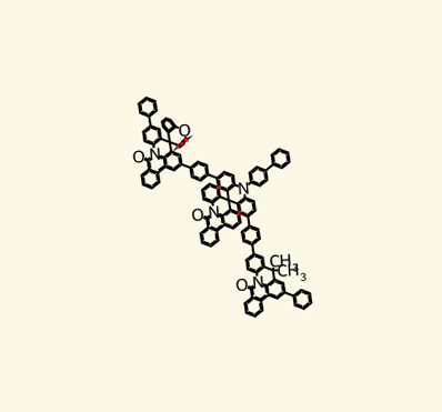 CC1(C)c2cc(-c3ccc(-c4ccc5c(c4)C4(c6cc(-c7ccc(-c8cc9c%10c(c8)c8ccccc8c(=O)n%10-c8ccc(-c%10ccccc%10)cc8C98c9ccccc9Oc9ccccc98)cc7)ccc6N5c5ccc(-c6ccccc6)cc5)c5ccccc5-n5c(=O)c6ccccc6c6cccc4c65)cc3)ccc2-n2c(=O)c3ccccc3c3cc(-c4ccccc4)cc1c32